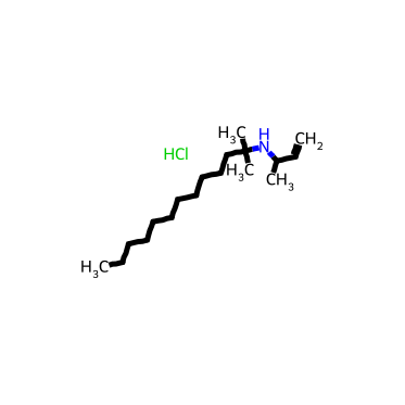 C=CC(C)NC(C)(C)CCCCCCCCCCC.Cl